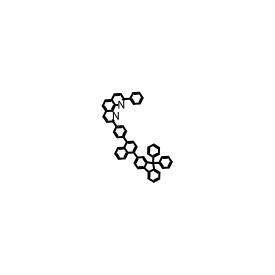 c1ccc(-c2ccc3ccc4ccc(-c5ccc(-c6ccc(-c7ccc8c(c7)C(c7ccccc7)(c7ccccc7)c7ccccc7-8)c7ccccc67)cc5)nc4c3n2)cc1